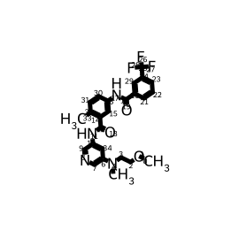 COCCN(C)c1cncc(NC(=O)c2cc(NC(=O)c3cccc(C(F)(F)F)c3)ccc2C)c1